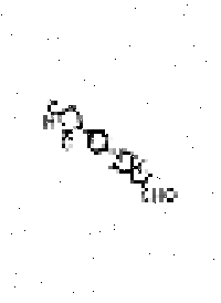 O=CC1COC2(CCN(c3ccc(C4CCC(=O)NC4=O)cc3)CC2)C1